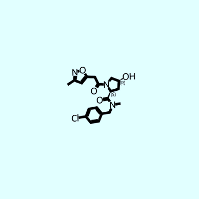 Cc1cc(CC(=O)N2C[C@H](O)C[C@H]2C(=O)N(C)Cc2ccc(Cl)cc2)on1